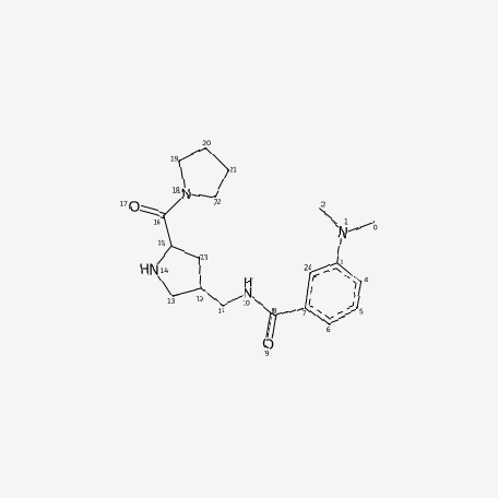 CN(C)c1cccc(C(=O)NCC2CNC(C(=O)N3CCCC3)C2)c1